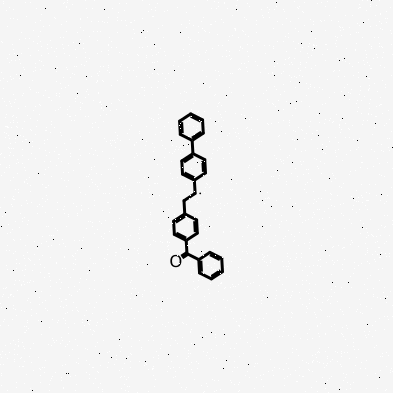 O=C(c1ccccc1)c1ccc(C[CH]c2ccc(-c3ccccc3)cc2)cc1